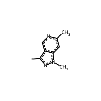 Cc1cc2c(cn1)c(I)nn2C